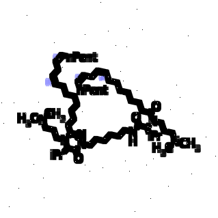 CCCCC/C=C\C/C=C\CCCCCCCC(=O)N(CCCN(C)C)C(C(=O)NCCCCCCNC(=O)C(C(C)C)N(CCCN(C)C)C(=O)CCCCCCC/C=C\C/C=C\CCCCC)C(C)C